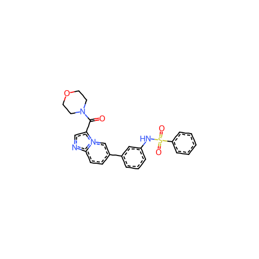 O=C(c1cnc2ccc(-c3cccc(NS(=O)(=O)c4ccccc4)c3)cn12)N1CCOCC1